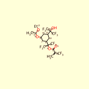 C=C(C(=O)OC(C1CC(OC(C)OCC)CC(C(O)(C(F)(F)F)C(F)(F)F)C1)(C(F)(F)F)C(F)(F)F)C(F)(F)F